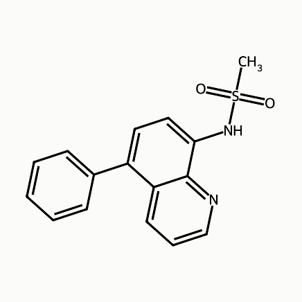 CS(=O)(=O)Nc1ccc(-c2ccccc2)c2cccnc12